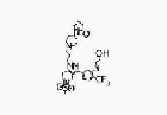 CS(=O)(=O)N1CCc2c(c(-c3ccc(C(F)(F)F)c(SCCO)c3)nn2CCCN2CCC(N3CCCC3=O)CC2)C1